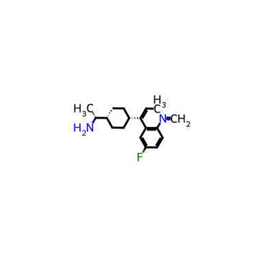 C=Nc1ccc(F)cc1/C(=C\C)[C@H]1CC[C@@H]([C@@H](C)N)CC1